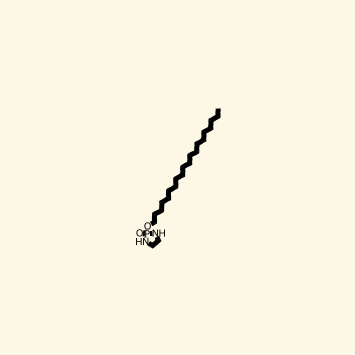 CCCCCCCCCCCCCCCCCCCCOP1(=O)NCCN1